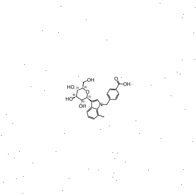 Cc1cccc2c([C@@H]3O[C@H](CO)[C@@H](O)[C@H](O)[C@H]3O)cn(Cc3ccc(C(=O)O)cc3)c12